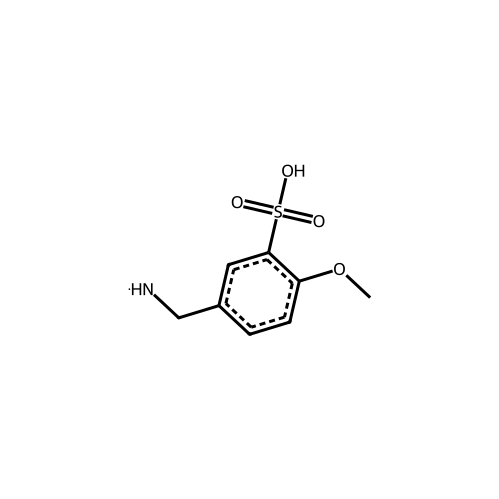 COc1ccc(C[NH])cc1S(=O)(=O)O